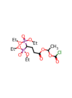 CCOP(=O)(OCC)C(CCC(=O)OC(C)OC(=O)Cl)P(=O)(OCC)OCC